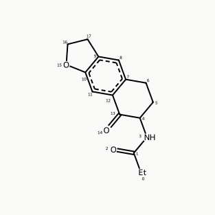 CCC(=O)NC1CCc2cc3c(cc2C1=O)OCC3